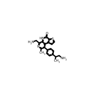 Cc1nc(CN)c2[nH]c(=O)c3sccc3c2c1-c1ccc(C(C)CN)cc1